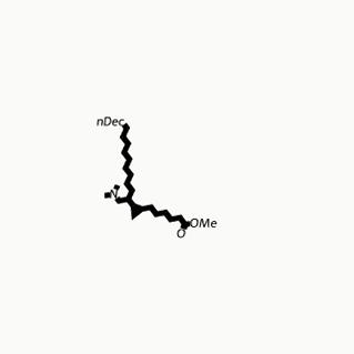 CCCCCCCCCCCCCCCCCCCC(CN(C)C)C1CC1CCCCCC(=O)OC